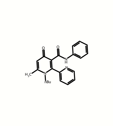 CCCCn1c(C)cc(=O)c(C(=O)Nc2ccccc2)c1-c1ccccn1